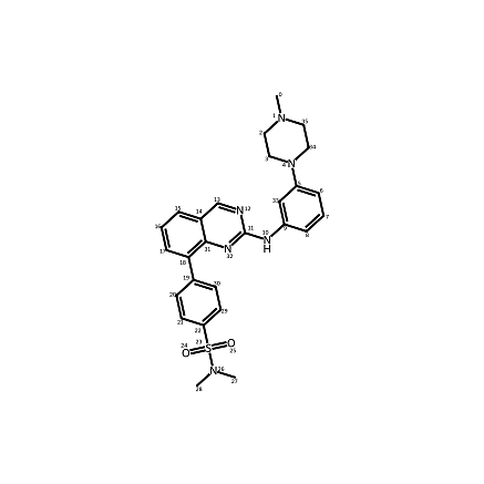 CN1CCN(c2cccc(Nc3ncc4cccc(-c5ccc(S(=O)(=O)N(C)C)cc5)c4n3)c2)CC1